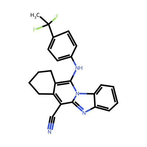 CC(F)(F)c1ccc(Nc2c3c(c(C#N)c4nc5ccccc5n24)CCCC3)cc1